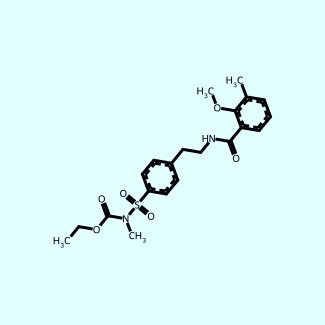 CCOC(=O)N(C)S(=O)(=O)c1ccc(CCNC(=O)c2cccc(C)c2OC)cc1